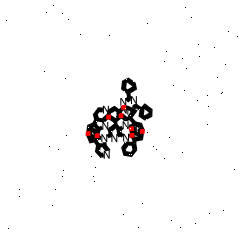 c1ccc(-c2nc(-c3ccccc3)nc(-c3cccc(-c4c(-n5c6ccccc6c6ccncc65)c(-n5c6ccccc6c6ccncc65)nc(-n5c6ccccc6c6ccncc65)c4-n4c5ccccc5c5ccncc54)c3)n2)cc1